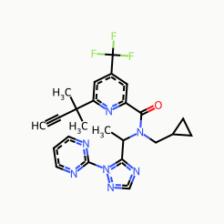 C#CC(C)(C)c1cc(C(F)(F)F)cc(C(=O)N(CC2CC2)C(C)c2ncnn2-c2ncccn2)n1